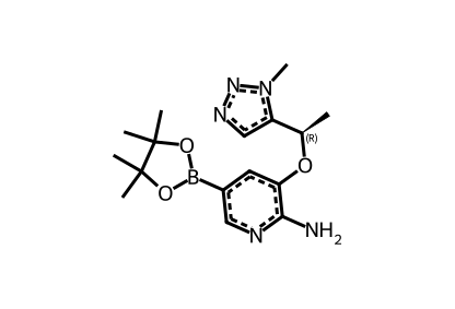 C[C@@H](Oc1cc(B2OC(C)(C)C(C)(C)O2)cnc1N)c1cnnn1C